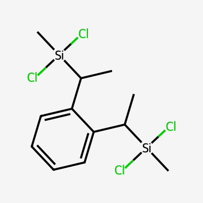 CC(c1ccccc1C(C)[Si](C)(Cl)Cl)[Si](C)(Cl)Cl